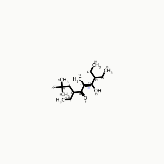 CCC(CC(C)(C)F)C(=O)/C(C)=C(\O)C(CC)CC